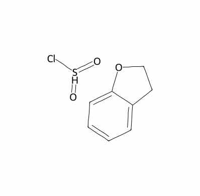 O=[SH](=O)Cl.c1ccc2c(c1)CCO2